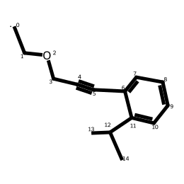 [CH2]COCC#Cc1ccccc1C(C)C